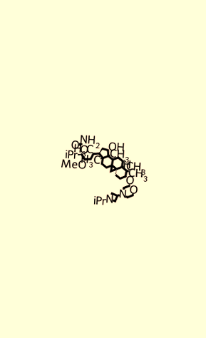 COC(C[C@@H](C)[C@H]1C[C@H](O)[C@@]2(C)C3CC[C@H]4C(C)(C)[C@@H](O[C@H]5CN(C6CN(C(C)C)C6)CCO5)CC[C@@]45CC35CC[C@]12C)[C@H](OC(N)=O)C(C)C